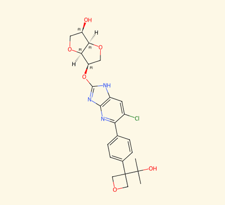 CC(C)(O)C1(c2ccc(-c3nc4nc(O[C@@H]5CO[C@H]6[C@@H]5OC[C@H]6O)[nH]c4cc3Cl)cc2)COC1